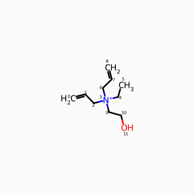 C=CC[N+](CC)(CC=C)CCO